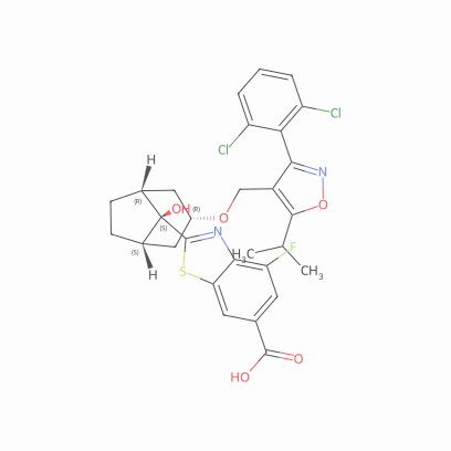 CC(C)c1onc(-c2c(Cl)cccc2Cl)c1CO[C@H]1C[C@H]2CC[C@@H](C1)[C@@]2(O)c1nc2c(F)cc(C(=O)O)cc2s1